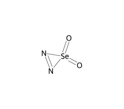 O=[Se]1(=O)N=N1